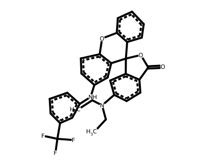 CCN(CC)c1ccc2c(c1)C1(OC2=O)c2ccccc2Oc2ccc(Nc3cccc(C(F)(F)F)c3)cc21